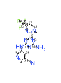 N#Cc1cncc(Nc2nc(N)nc(-c3nccc(C(F)(F)F)n3)n2)c1